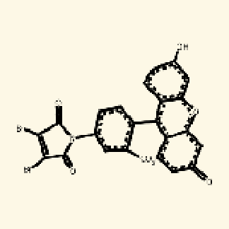 O=C(O)c1cc(N2C(=O)C(Br)=C(Br)C2=O)ccc1-c1c2ccc(=O)cc-2oc2cc(O)ccc12